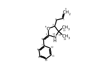 C=CCC1OC(=Cc2ccccc2)NC1(C)C